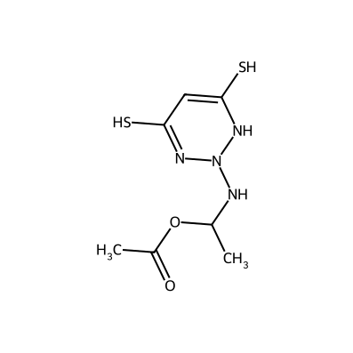 CC(=O)OC(C)NN1N=C(S)C=C(S)N1